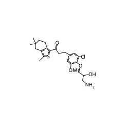 COc1cc(CCC(=O)c2sc(C)c3c2CCC(C)(C)C3)cc(Cl)c1OCC(O)CN